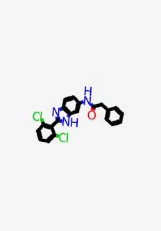 O=C(Cc1ccccc1)Nc1ccc2nc(-c3c(Cl)cccc3Cl)[nH]c2c1